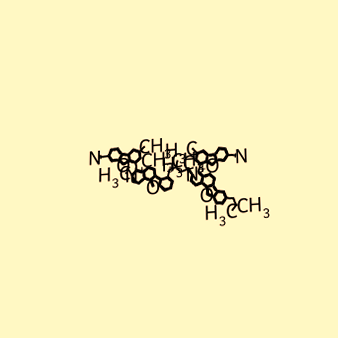 Cc1cc2c(oc3cc(C#N)ccc32)c(-c2c3ccc4c(oc5cccc(CC(C)CC[n+]6ccc7c(ccc8c9cc(CC(C)C)ccc9oc78)c6-c6c(C)c(C)cc7c6oc6cc(C#N)ccc67)c54)c3cc[n+]2C)c1C